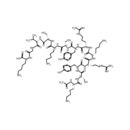 CC(=O)N[C@@H](CCCCN)C(=O)N[C@@H](CO)C(=O)N[C@@H](Cc1ccc(O)cc1)C(=O)N[C@@H](CCCNC(=N)N)C(=O)N[C@@H](CCCCN)C(=O)N[C@@H](CCCNC(=N)N)C(=O)N[C@@H](Cc1ccc(O)cc1)C(=O)N[C@@H](CO)C(=O)N[C@@H](CCCCN)C(=O)N[C@@H](CO)C(=O)N[C@H](C(=O)NCC(=O)N[C@@H](CCCCN)C(=O)O)C(C)C